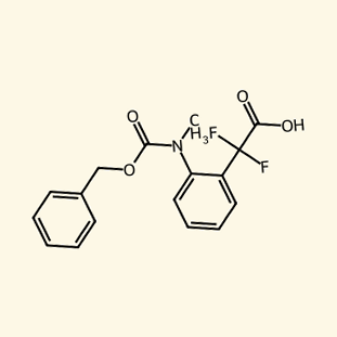 CN(C(=O)OCc1ccccc1)c1ccccc1C(F)(F)C(=O)O